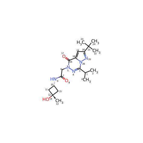 CC(C)c1nn(CC(=O)N[C@H]2C[C@@](C)(O)C2)c(=O)c2cc(C(C)(C)C)nn12